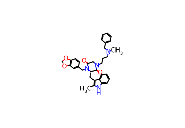 Cc1[nH]c2ccccc2c1C[C@@H]1C(=O)N(CCCN(C)Cc2ccccc2)CC(=O)N1Cc1ccc2c(c1)OCO2